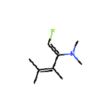 CC(C)=C(C)/C(=C/F)N(C)C